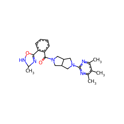 Cc1nc(N2CC3CN(C(=O)c4ccccc4C4=NC(C)NO4)CC3C2)nc(C)c1C